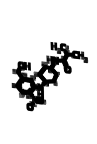 CC(C)C(=O)NC1CCC(Nc2cc(CO)ccc2[N+](=O)[O-])CC1